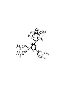 CCN(CC)c1nc(N(CC)CC)nc(N(CC)CC)n1.[O]=[Mo](=[O])([OH])[OH]